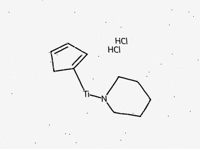 C1=CC[C]([Ti][N]2CCCCC2)=C1.Cl.Cl